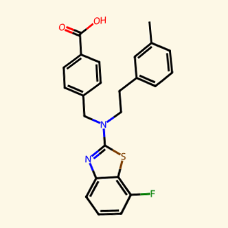 Cc1cccc(CCN(Cc2ccc(C(=O)O)cc2)c2nc3cccc(F)c3s2)c1